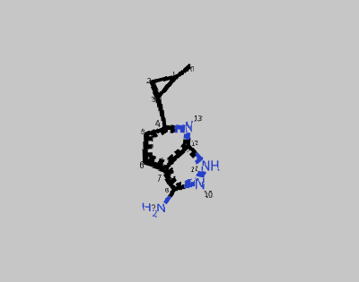 CC1CC1c1ccc2c(N)n[nH]c2n1